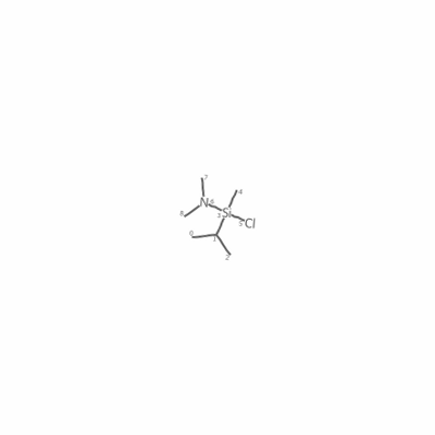 CC(C)[Si](C)(Cl)N(C)C